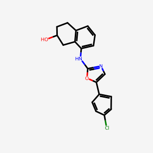 OC1CCc2cccc(Nc3ncc(-c4ccc(Cl)cc4)o3)c2C1